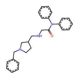 O=C(CNCC1CCN(Cc2ccccc2)C1)N(c1ccccc1)c1ccccc1